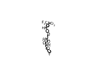 O=C(NCCOC1CCC(Nc2ccc([N+](=O)[O-])c(C(F)(F)F)c2)CC1)C(=O)NCc1cc2cc(F)ccc2o1